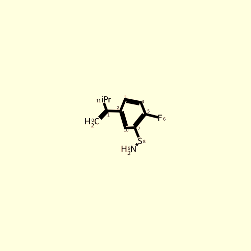 C=C(c1ccc(F)c(SN)c1)C(C)C